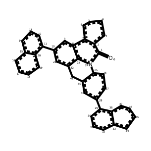 O=c1c2ccccc2c2cc(-c3cccc4ccccc34)cc3c2n1-c1ccc(-c2cccc4ccccc24)cc1C3